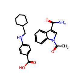 CC(=O)n1cc(C(N)=O)c2ccccc21.O=C(O)c1ccc(NCC2CCCCC2)cc1